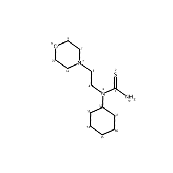 NC(=S)N(CCN1CCOCC1)C1CCCCC1